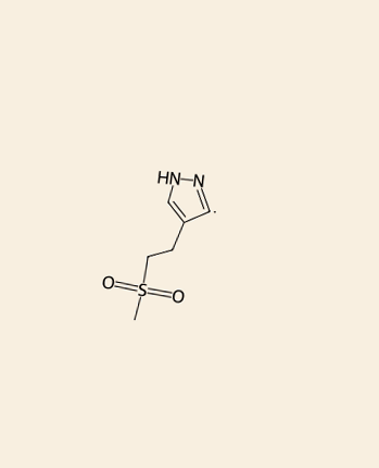 CS(=O)(=O)CCc1[c]n[nH]c1